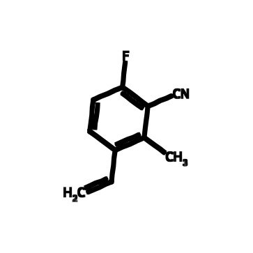 C=Cc1ccc(F)c(C#N)c1C